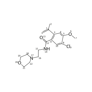 C=C(C)c1cc(OC)c(Cl)cc1C(=O)NCCN1CCOCC1